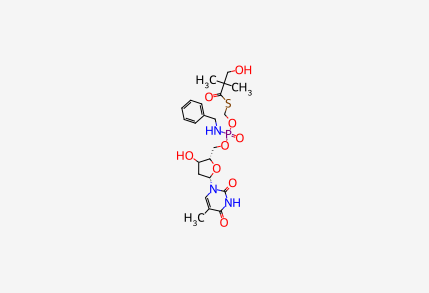 Cc1cn([C@@H]2CC(O)[C@H](COP(=O)(NCc3ccccc3)OCSC(=O)C(C)(C)CO)O2)c(=O)[nH]c1=O